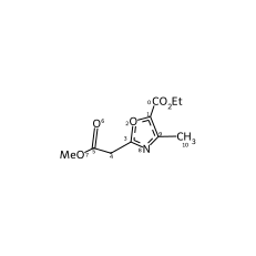 CCOC(=O)c1oc(CC(=O)OC)nc1C